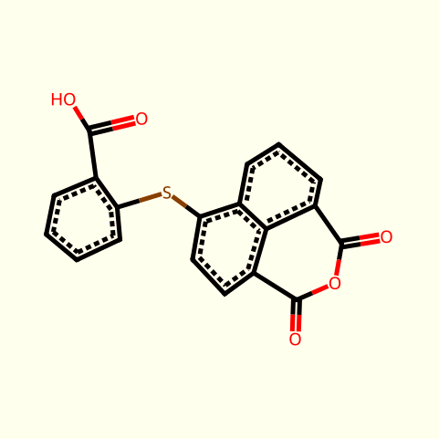 O=C(O)c1ccccc1Sc1ccc2c3c(cccc13)C(=O)OC2=O